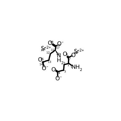 NC(CCC(=O)[O-])C(=O)[O-].N[C@@H](CCC(=O)[O-])C(=O)[O-].[Sr+2].[Sr+2]